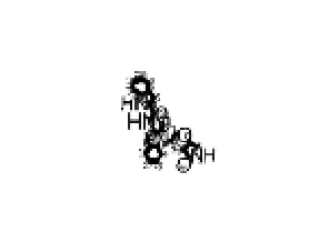 O=C[C@H](C[C@@H]1CCNC1=O)NC(=O)[C@H](Cc1ccccc1)NC(=O)c1cc2ccccc2[nH]1